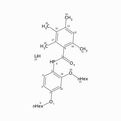 CCCCCCOc1ccc(PC(=O)c2c(C)cc(C)c(C)c2C)c(OCCCCCC)c1.[LiH]